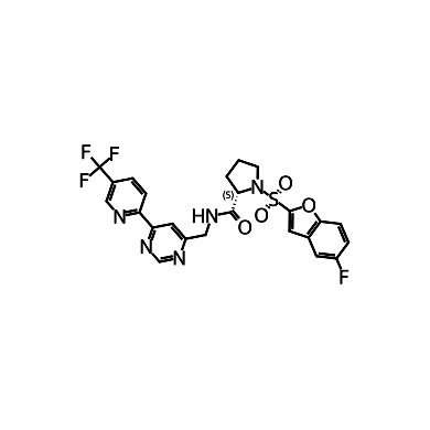 O=C(NCc1cc(-c2ccc(C(F)(F)F)cn2)ncn1)[C@@H]1CCCN1S(=O)(=O)c1cc2cc(F)ccc2o1